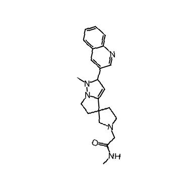 CNC(=O)CN1CCC2(CCN3C2=CC(c2cnc4ccccc4c2)N3C)C1